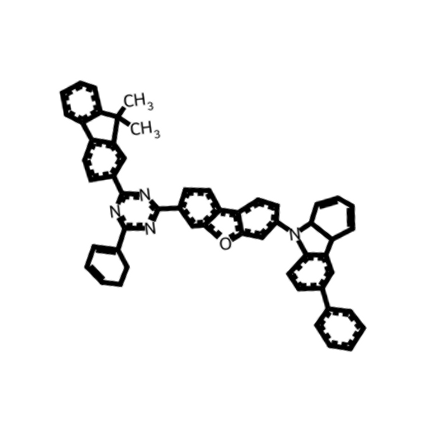 CC1(C)c2ccccc2-c2ccc(-c3nc(C4=CC=CCC4)nc(-c4ccc5c(c4)oc4cc(N6c7ccc(-c8ccccc8)cc7C7C=CC=CC76)ccc45)n3)cc21